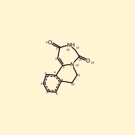 O=C1C=C2c3ccccc3CCN2C(=O)CN1